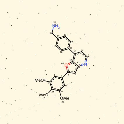 COc1cc(-c2cc3nccc(-c4ccc(CN)cc4)c3o2)cc(OC)c1OC